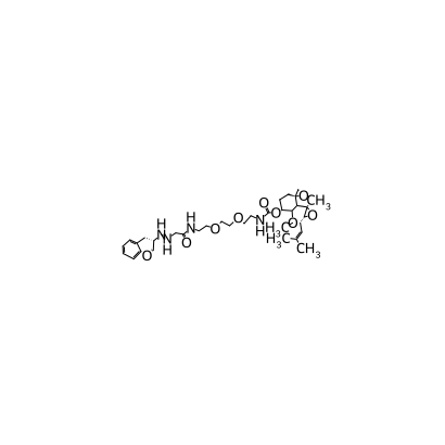 COC1C(OC(=O)NCCOCCOCCNC(=O)CNN[C@H](C=O)Cc2ccccc2)CC[C@]2(CO2)C1[C@@]1(C)O[C@@H]1CC=C(C)C